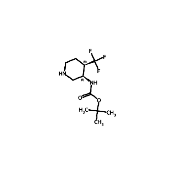 CC(C)(C)OC(=O)N[C@H]1CNCC[C@H]1C(F)(F)F